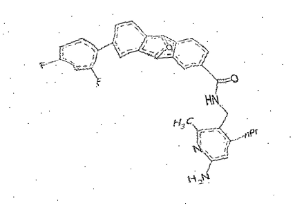 CCCc1cc(N)nc(C)c1CNC(=O)c1ccc2c(c1)c1oc2c2ccc(-c3ccc(F)cc3F)cc21